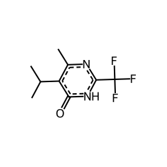 Cc1nc(C(F)(F)F)[nH]c(=O)c1C(C)C